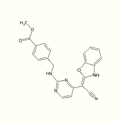 COC(=O)c1ccc(CNc2nccc(/C(C#N)=C3/Nc4ccccc4O3)n2)cc1